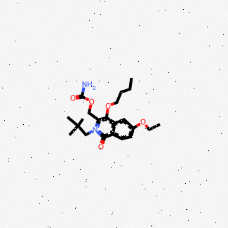 CCCCOc1c(COC(N)=O)n(CC(C)(C)C)c(=O)c2ccc(OCC)cc12